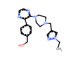 CCn1cc(CN2CCN(c3nccnc3-c3ccc(CO)cc3)CC2)cn1